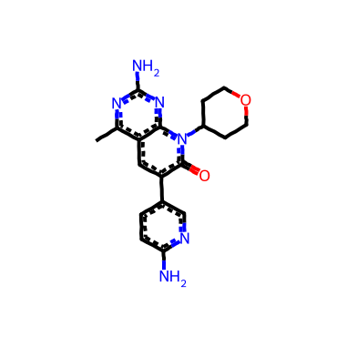 Cc1nc(N)nc2c1cc(-c1ccc(N)nc1)c(=O)n2C1CCOCC1